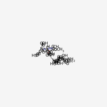 Cc1ccc2c(c1)C(C)(C)/C(=C/C=C1\CCCC(/C=C/C3=[N+](CCCS(=O)(=O)O)c4ccc(OOOS)cc4C3(C)C)=C1N1CCC(C(=O)NCCCCCCOP(=O)(O)OP(=O)(O)OP(=O)(O)OP(=O)(O)O[C@H]3O[C@@H](n4cnc5c(=O)[nH]c(N)nc54)CC3O)CC1)N2CCCS(=O)(=O)O